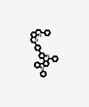 c1ccc(-c2ccc3ccc4ccc(-c5ccc(-c6ccc7c(c6)nc(-c6ccccc6)c6ccc8c(c9ccccc9n8-c8ccccc8)c67)cc5)nc4c3n2)cc1